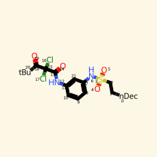 CCCCCCCCCCCCS(=O)(=O)Nc1cccc(NC(=O)C(Cl)(Cl)C(=O)C(C)(C)C)c1